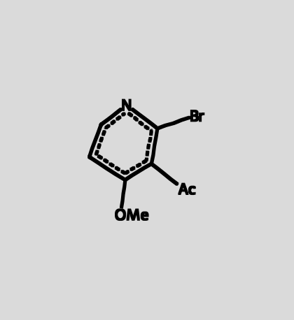 COc1ccnc(Br)c1C(C)=O